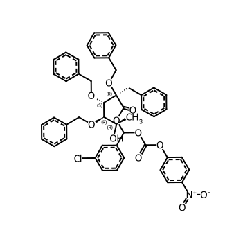 C[C@@H](O)[C@@H](OCc1ccccc1)[C@H](OCc1ccccc1)[C@@](Cc1ccccc1)(OCc1ccccc1)C(=O)OC(OC(=O)Oc1ccc([N+](=O)[O-])cc1)c1cccc(Cl)c1